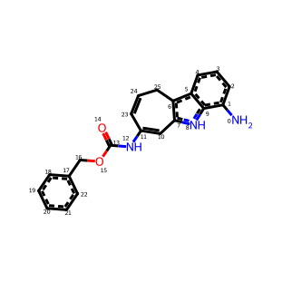 Nc1cccc2c3c([nH]c12)C=C(NC(=O)OCc1ccccc1)C=CC3